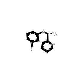 C[C@@H](Oc1cccc(F)c1)c1ccccn1